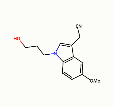 COc1ccc2c(c1)c(CC#N)cn2CCCO